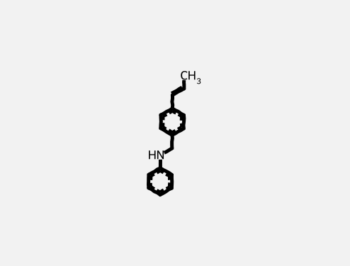 C/C=C/c1ccc(CNc2ccccc2)cc1